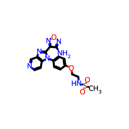 CS(=O)(=O)NCCOc1ccc(-n2c(-c3nonc3N)nc3cnccc32)cc1